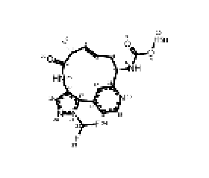 C[C@@H]1/C=C/C[C@@H](NC(=O)OC(C)(C)C)c2cc(ccn2)-c2c(cnn2C(F)F)NC1=O